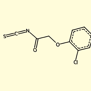 O=C(COc1ccccc1Cl)N=C=S